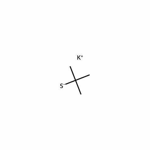 CC(C)(C)[S-].[K+]